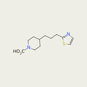 O=C(O)N1CCC(CCCc2nccs2)CC1